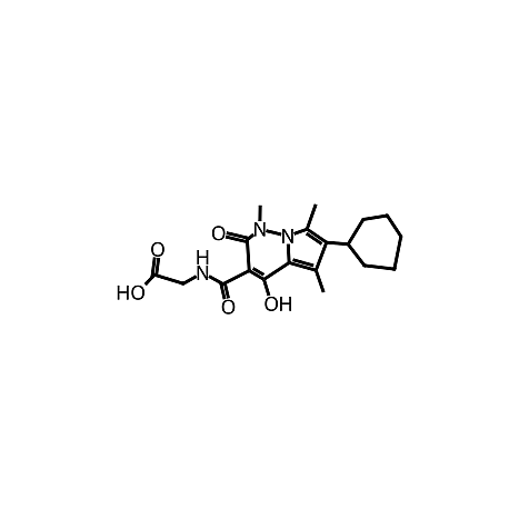 Cc1c(C2CCCCC2)c(C)n2c1c(O)c(C(=O)NCC(=O)O)c(=O)n2C